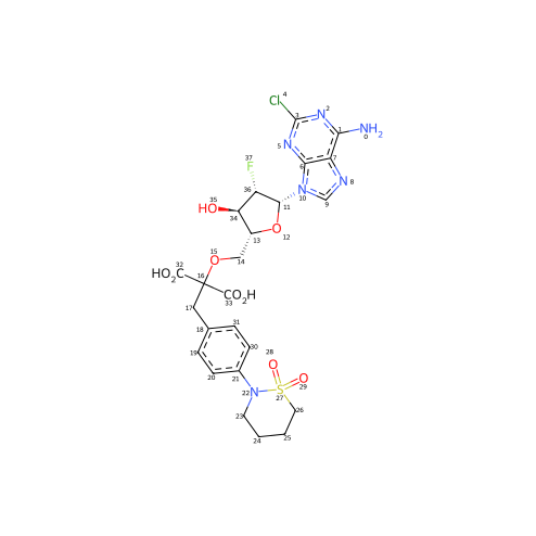 Nc1nc(Cl)nc2c1ncn2[C@@H]1O[C@H](COC(Cc2ccc(N3CCCCS3(=O)=O)cc2)(C(=O)O)C(=O)O)[C@@H](O)[C@@H]1F